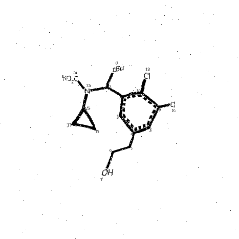 CC(C)(C)C(c1cc(CCO)cc(Cl)c1Cl)N(C(=O)O)C1CC1